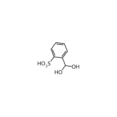 O=S(=O)(O)c1ccccc1C(O)O